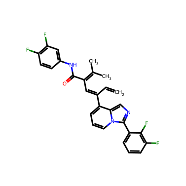 C=C/C(=C\C(C(=O)Nc1ccc(F)c(F)c1)=C(C)C)c1cccn2c(-c3cccc(F)c3F)ncc12